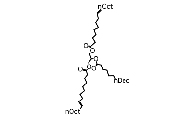 CCCCCCCC/C=C/CCCCCCCC(=O)OCC(COC(=O)CCCCCCC/C=C/CCCCCCCC)OC(=O)CCCCCCCCCCCCCCC